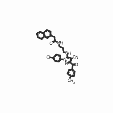 Cc1ccc(C(=O)c2nn(-c3ccc(Cl)cc3)c(NCCCNC(=O)Cc3ccc4ccccc4c3)c2C#N)cc1